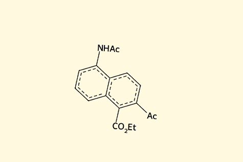 CCOC(=O)c1c(C(C)=O)ccc2c(NC(C)=O)cccc12